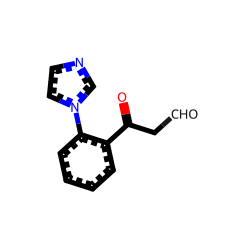 O=CCC(=O)c1ccccc1-n1ccnc1